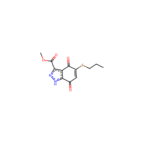 CCCSC1=CC(=O)c2[nH]nc(C(=O)OC)c2C1=O